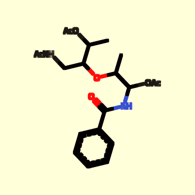 CC(=O)NCC(OC(C)C(NC(=O)c1ccccc1)OC(C)=O)C(C)OC(C)=O